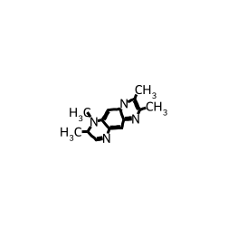 Cc1nc2cc3c(cc2nc1C)N(C)C(C)C=N3